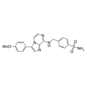 COc1ccc(-c2cnc3c(NCc4ccc(S(N)(=O)=O)cc4)nccn23)cc1